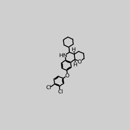 Clc1ccc(Oc2ccc3c(c2)[C@H]2OCCC[C@H]2C(C2CCCCC2)N3)cc1Cl